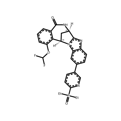 CCP(=O)(CC)c1ccc(-c2ccc3nc4n(c3c2)[C@@H]2C[C@H]4NC(=O)c3cccc(OC(F)F)c32)cn1